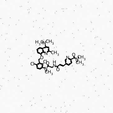 Cc1cc(N(C)C)c2cccc(OCc3c(Cl)ccc(N(C)C(=O)CNC(=O)C=Cc4ccc(C(=O)N(C)C)nc4)c3Cl)c2n1